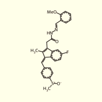 COc1ccccc1C=NNC(=O)CC1=C(C)/C(=C/c2ccc([S+](C)[O-])cc2)c2ccc(F)cc21